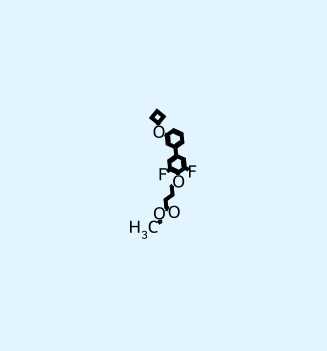 CCOC(=O)CCCOc1c(F)cc(-c2cccc(OC3CCC3)c2)cc1F